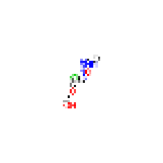 CC(C)(O)CCCOc1ccc(Cl)c(-c2ccnc(NC(=O)c3nnc(CC4CCCCC4)[nH]3)c2)c1